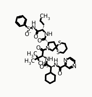 CCC[C@H](NC(=O)[C@@H]1CC2(CN1C(=O)[C@@H](NC(=O)[C@@H](NC(=O)c1cnccn1)C1CCCCC1)C(C)(C)C)SCCCS2)C(=O)N[S+]([O-])c1ccccc1